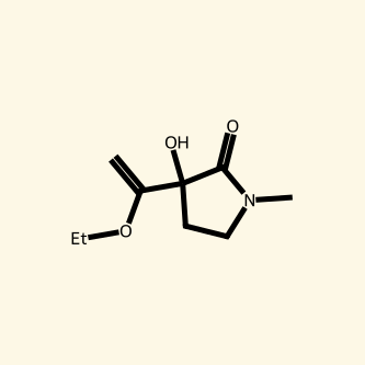 C=C(OCC)C1(O)CCN(C)C1=O